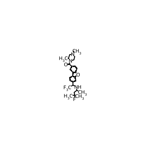 CC(CC(C)(C)F)NC(c1ccc2c(c1)oc1ccc(C(=O)N3CCN(C)CC3C)cc12)C(F)(F)F